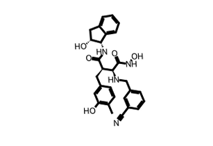 Cc1ccc(C[C@@H](C(=O)N[C@H]2c3ccccc3C[C@H]2O)[C@H](NCc2cccc(C#N)c2)C(=O)NO)cc1O